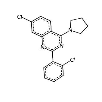 Clc1ccc2c(N3CCCC3)nc(-c3ccccc3Cl)nc2c1